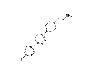 NCCC1CCN(c2ccc(-c3ccc(F)cc3)nn2)CC1